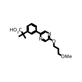 COCCCOc1cnc(-c2cccc(C(C)(C)C(=O)O)c2)cn1